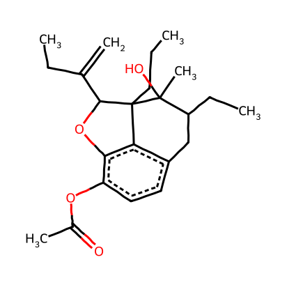 C=C(CC)C1Oc2c(OC(C)=O)ccc3c2C1(CCC)C(C)(O)C(CC)C3